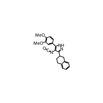 COc1ccc(-c2[nH]nc(C3CCc4ccccc4C3)c2N=C=O)cc1OC